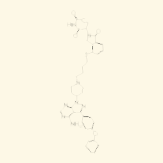 Nc1ncnc2c1c(-c1ccc(Oc3ccccc3)cc1)nn2C1CCN(CCCCSc2cccc3c2CN(C2CCC(=O)NC2=O)C3=O)CC1